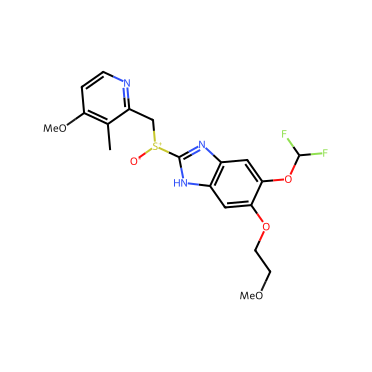 COCCOc1cc2[nH]c([S+]([O-])Cc3nccc(OC)c3C)nc2cc1OC(F)F